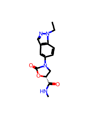 CCn1ncc2cc(N3C[C@H](C(=O)NC)OC3=O)ccc21